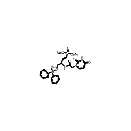 COP(=O)(/C=C/C(CO[Si](c1ccccc1)(c1ccccc1)C(C)(C)C)NC(=O)Cn1ccc(=O)[nH]c1=O)OC